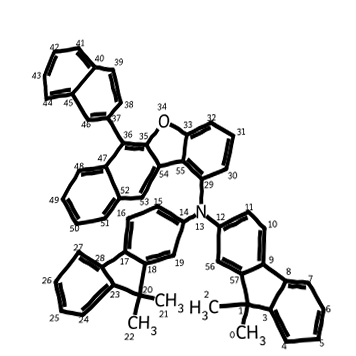 CC1(C)c2ccccc2-c2ccc(N(c3ccc4c(c3)C(C)(C)c3ccccc3-4)c3cccc4oc5c(-c6ccc7ccccc7c6)c6ccccc6cc5c34)cc21